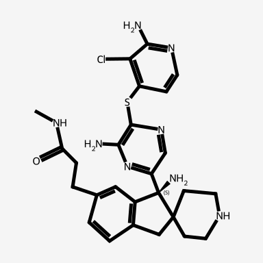 CNC(=O)CCc1ccc2c(c1)[C@](N)(c1cnc(Sc3ccnc(N)c3Cl)c(N)n1)C1(CCNCC1)C2